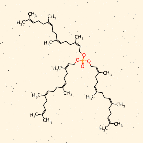 CC(C)=CCC/C(C)=C\CC/C(C)=C\CC/C(C)=C\COP(=O)(OC/C=C(/C)CC/C=C(/C)CC/C=C(/C)CCC=C(C)C)OC/C=C(/C)CC/C=C(/C)CC/C=C(/C)CCC=C(C)C